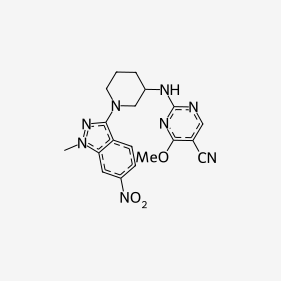 COc1nc(NC2CCCN(c3nn(C)c4cc([N+](=O)[O-])ccc34)C2)ncc1C#N